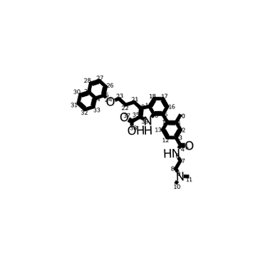 Cc1cc(C(=O)NCCN(C)C)ccc1-c1cccc2c(CCCOc3cccc4ccccc34)c(C(=O)O)[nH]c12